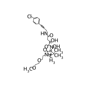 COCCOCCNC(=O)[C@@H](N(O)C(=O)[C@@H](O)CC(=O)NCC#Cc1ccc(Cl)cc1)C(C)(C)C